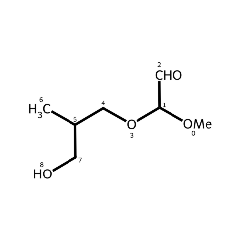 COC(C=O)OCC(C)CO